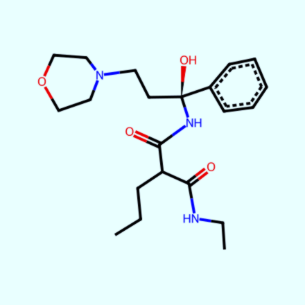 CCCC(C(=O)NCC)C(=O)N[C@](O)(CCN1CCOCC1)c1ccccc1